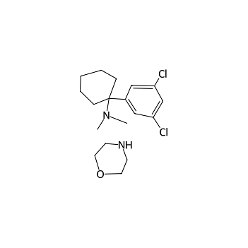 C1COCCN1.CN(C)C1(c2cc(Cl)cc(Cl)c2)CCCCC1